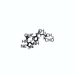 CN(CC=O)CCN(C)Cc1ccc(Nc2cc(NC3CC3)c(C#N)cn2)nc1C=O